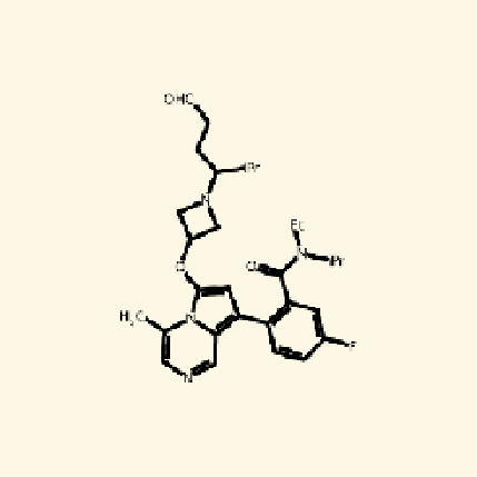 CCN(C(=O)c1cc(F)ccc1-c1cc(OC2CN(C(CCC=O)C(C)C)C2)n2c(C)cncc12)C(C)C